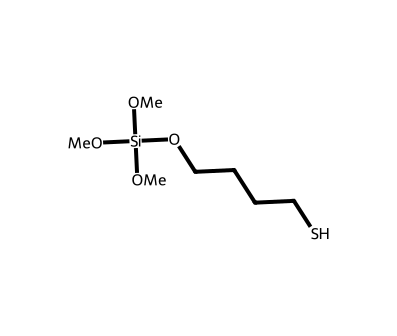 CO[Si](OC)(OC)OCCCCS